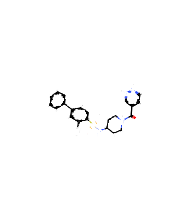 O=C(c1ccnnc1)N1CCC(NS(=O)(=O)c2ccc(-c3ccccc3)cc2C(F)(F)F)CC1